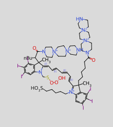 CCCCC(C(=O)N1CC[N+]2(CC1)CC[N+]1(CCNCC1)CC2)C1(C)/C(=C/C=C/C=C/C=C/C2=[N+](CCCCCS(=O)(=O)O)c3cc(I)c(I)c(I)c3C2(C)CCCCCC(=O)N2CC[N+]3(CC2)CC[N+]2(CCNCC2)CC3)N(CSOOO)c2cc(I)c(I)c(I)c21